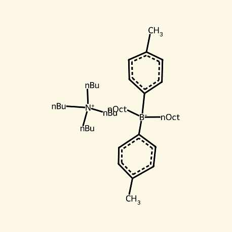 CCCCCCCC[B-](CCCCCCCC)(c1ccc(C)cc1)c1ccc(C)cc1.CCCC[N+](CCCC)(CCCC)CCCC